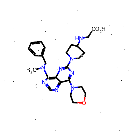 CN(Cc1ccccc1)c1ncnc2c(N3CCOCC3)nc(N3CCC(NCC(=O)O)CC3)nc12